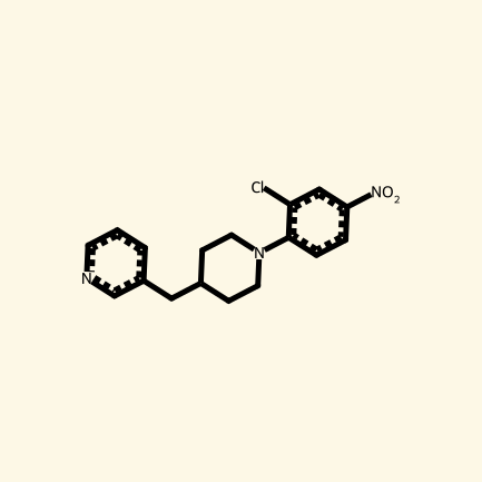 O=[N+]([O-])c1ccc(N2CCC(Cc3cccnc3)CC2)c(Cl)c1